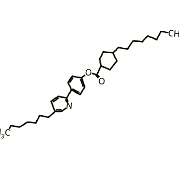 CCCCCCCCC1CCC(C(=O)Oc2ccc(-c3ccc(CCCCCCC)cn3)cc2)CC1